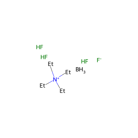 B.CC[N+](CC)(CC)CC.F.F.F.[F-]